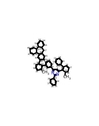 Cc1ccc(-c2cc(C3=C(c4ccccc4)C=CCC3C)nc(-c3ccccc3)n2)cc1-c1c(C)cccc1-c1ccc2c(c1)C1C=CC=CC1C1C=CC=CC1C2